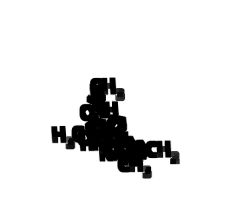 C=C(F)CC1CN(C2CCCCC2)c2nc(Nc3ccc(C(=O)NC4CN(C)C4)cc3OC)ncc2N(C)C1=O